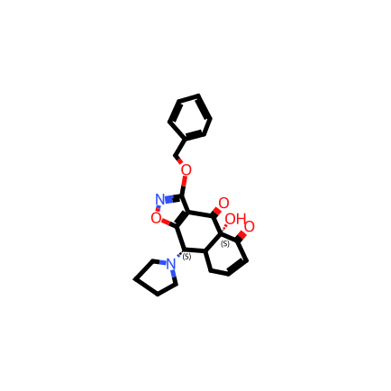 O=C1C=CCC2[C@H](N3CCCC3)c3onc(OCc4ccccc4)c3C(=O)[C@@]12O